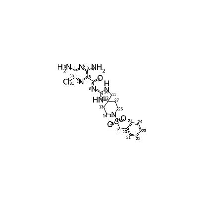 Nc1nc(N)c(C(=O)/N=C2\NCC3(CCN(S(=O)(=O)Cc4ccccc4)CC3)N2)nc1Cl